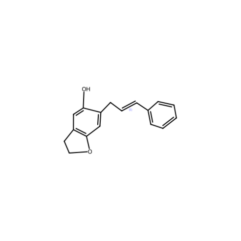 Oc1cc2c(cc1C/C=C/c1ccccc1)OCC2